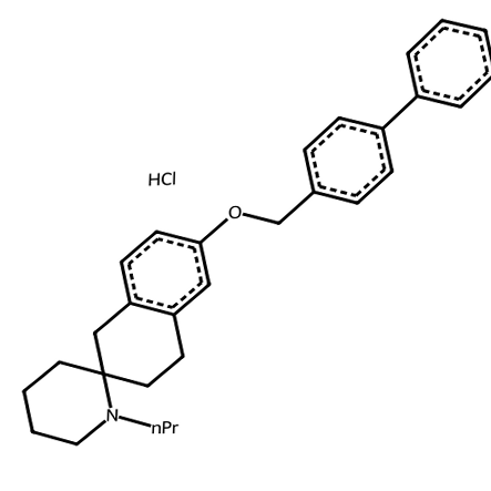 CCCN1CCCCC12CCc1cc(OCc3ccc(-c4ccccc4)cc3)ccc1C2.Cl